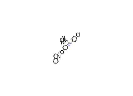 Clc1ccc(/C=C(\Cn2nccn2)c2ccc(OCc3ccc4ccccc4n3)cc2)cc1